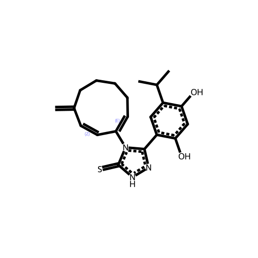 C=C1/C=C\C(n2c(-c3cc(C(C)C)c(O)cc3O)n[nH]c2=S)=C/CCCC1